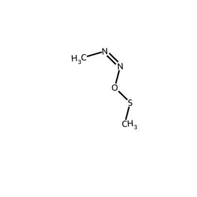 C/N=N\OSC